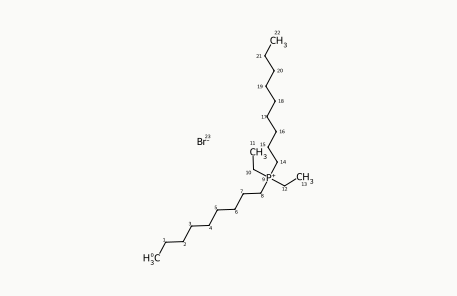 CCCCCCCCC[P+](CC)(CC)CCCCCCCCC.[Br-]